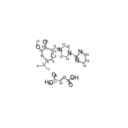 COc1cc(C(C)C)ccc(CN2CCN(c3ncccn3)CC2)c1=O.O=C(O)C=CC(=O)O